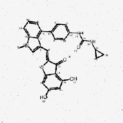 Cn1cc(C=C2Oc3cc(O)cc(O)c3C2=O)c2c(-c3ccc(NC(=O)NC4CC4)cc3)cccc21